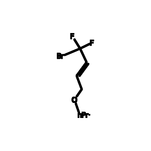 CC[CH]OC/C=C/C(F)(F)Br